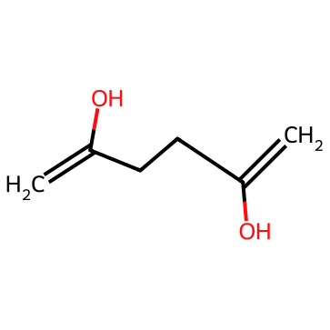 C=C(O)CCC(=C)O